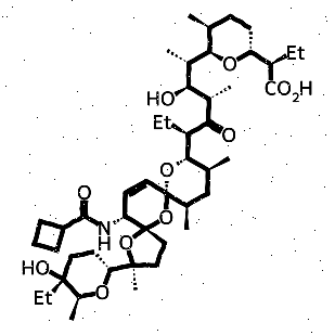 CC[C@@H](C(=O)[C@@H](C)[C@@H](O)[C@H](C)[C@@H]1O[C@@H]([C@@H](CC)C(=O)O)CC[C@@H]1C)[C@H]1O[C@]2(C=C[C@@H](NC(=O)C3CCC3)[C@]3(CC[C@@](C)([C@H]4CC[C@](O)(CC)[C@H](C)O4)O3)O2)[C@H](C)C[C@@H]1C